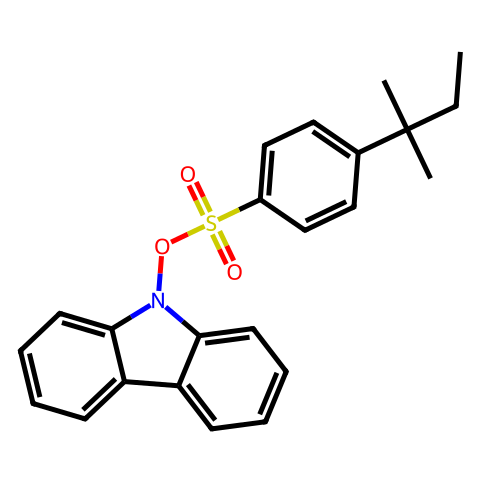 CCC(C)(C)c1ccc(S(=O)(=O)On2c3ccccc3c3ccccc32)cc1